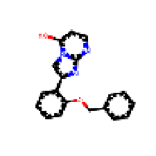 Oc1ccnc2nc(-c3ccccc3OCc3ccccc3)cn12